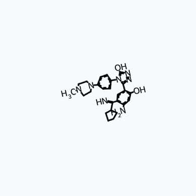 CN1CCN(c2ccc(-n3c(O)nnc3-c3cc(C(=N)C4CCCC4)c(N)cc3O)cc2)CC1